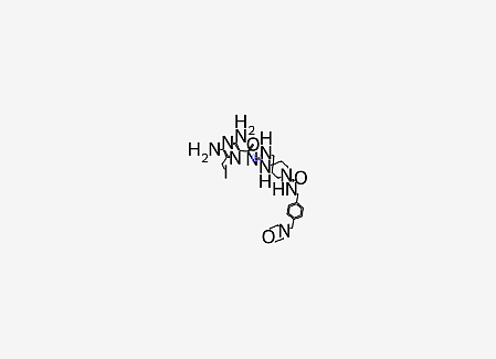 Nc1nc(N)c(C(=O)/N=C2\NCC3(CCN(C(=O)NCc4ccc(CN5CCOCC5)cc4)CC3)N2)nc1CI